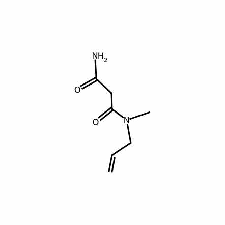 C=CCN(C)C(=O)CC(N)=O